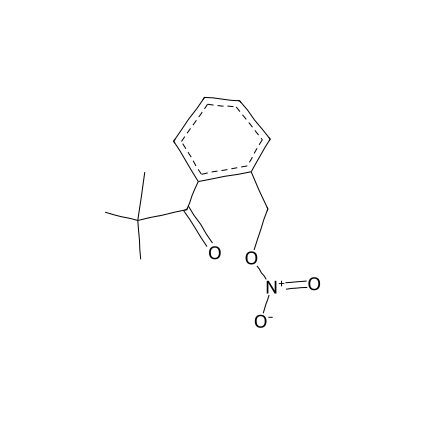 CC(C)(C)C(=O)c1ccccc1CO[N+](=O)[O-]